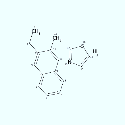 CCc1cc2ccccc2cc1C.I.c1cscn1